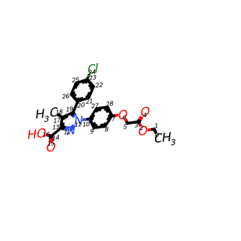 CCOC(=O)COc1ccc(-n2nc(C(=O)O)c(C)c2-c2ccc(Cl)cc2)cc1